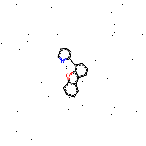 [c]1ccc2oc3c(-c4ccccn4)cccc3c2c1